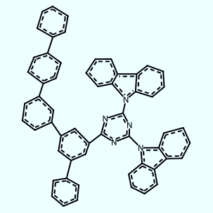 c1ccc(-c2ccc(-c3cccc(-c4cc(-c5ccccc5)cc(-c5nc(-n6c7ccccc7c7ccccc76)nc(-n6c7ccccc7c7ccccc76)n5)c4)c3)cc2)cc1